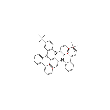 Cc1cc2c3c(c1)N(c1ccccc1-c1ccccc1)c1cc(C(C)(C)C)ccc1B3c1ccc(C(C)(C)C)cc1N2C1=CCCC=C1c1ccccc1